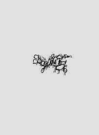 COc1ccc(CNc2nc3c(c(=O)n2-c2ccc(SC)cc2)CCN(C(=O)c2ccc(Cl)c(Cl)c2)C3)cc1